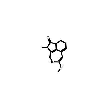 COC1=CC2=CCCC3C(=O)C(C)C(=C23)CN1